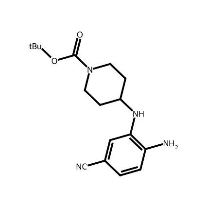 CC(C)(C)OC(=O)N1CCC(Nc2cc(C#N)ccc2N)CC1